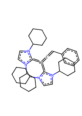 [C](=Cc1ccccc1)=[Ru](=[c]1n(C2CCCCC2)ccn1C1CCCCC1)=[c]1n(C2CCCCC2)ccn1C1CCCCC1